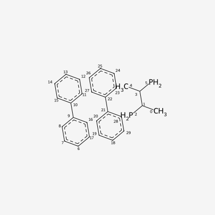 CC(P)C(C)P.c1ccc(-c2ccccc2)cc1.c1ccc(-c2ccccc2)cc1